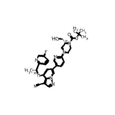 C[C@@H](Oc1cc(-c2ccc(N3CCN(C(=O)OC(C)(C)C)[C@@H](CO)C3)nc2)cn2ncc(C#N)c12)c1ccc(F)cn1